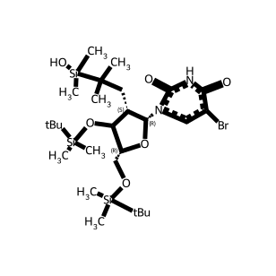 CC(C)(C[C@H]1C(O[Si](C)(C)C(C)(C)C)[C@@H](CO[Si](C)(C)C(C)(C)C)O[C@H]1n1cc(Br)c(=O)[nH]c1=O)[Si](C)(C)O